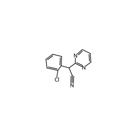 N#CC(c1ncccn1)c1ccccc1Cl